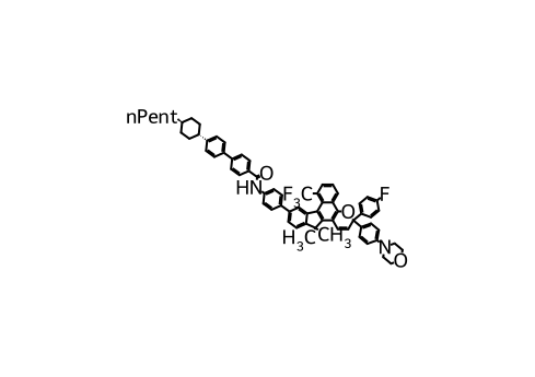 CCCCC[C@H]1CC[C@H](c2ccc(-c3ccc(C(=O)Nc4ccc(-c5ccc6c(c5)-c5c(c7c(c8cccc(C(F)(F)F)c58)OC(c5ccc(F)cc5)(c5ccc(N8CCOCC8)cc5)C=C7)C6(C)C)cc4)cc3)cc2)CC1